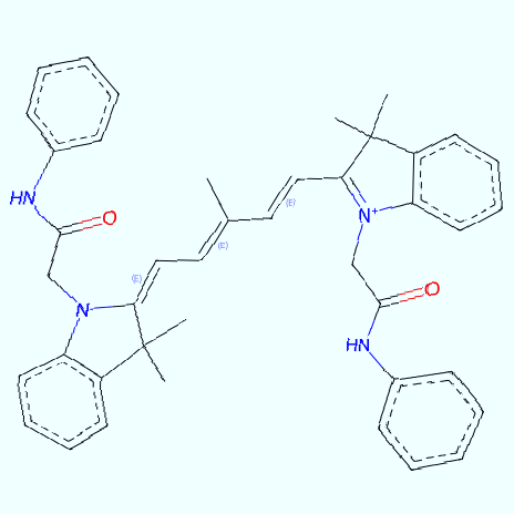 CC(/C=C/C1=[N+](CC(=O)Nc2ccccc2)c2ccccc2C1(C)C)=C\C=C1\N(CC(=O)Nc2ccccc2)c2ccccc2C1(C)C